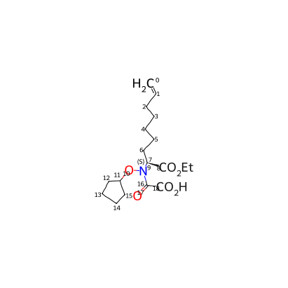 C=CCCCCC[C@@H](C(=O)OCC)N(OC1CCCC1)C(=O)C(=O)O